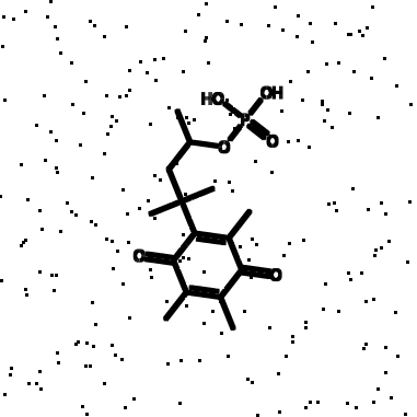 CC1=C(C)C(=O)C(C(C)(C)CC(C)OP(=O)(O)O)=C(C)C1=O